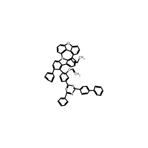 C=COc1cc(-c2nc(-c3ccccc3)nc(-c3ccc(-c4ccccc4)cc3)n2)ccc1-c1c(-c2ccccc2)ccc2c1c1ccccc1n2-c1cccc2oc3cccc(C/C=C\C)c3c12